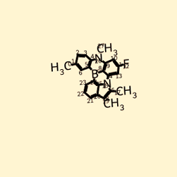 Cc1ccc2c(c1)B1c3c(cc(F)cc3-n3c(C)c(C)c4cccc1c43)N2C